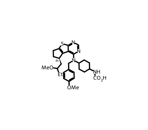 CCC(C[C@H]1CCc2sc3ncnc(N(Cc4ccc(OC)cc4)C4CCC(NC(=O)O)CC4)c3c21)OC